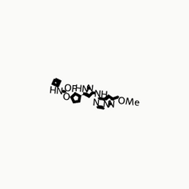 COCc1cc2c(Nc3cc([C@@H]4CC[C@H](OC(=O)NC56CC(C5)C6)[C@H]4F)[nH]n3)nccn2n1